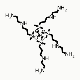 C[Si](C)(CCCNCCN)O[Si](O[Si](C)(C)CCCNCCN)(O[Si](C)(C)CCCNCCN)O[Si](C)(C)CCCNCCN